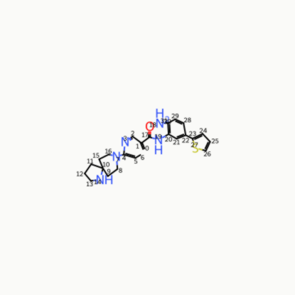 C=C(/C=N\C(=C/C)N1CCC2(CCCN2)CC1)C(=O)Nc1cc(-c2cccs2)ccc1N